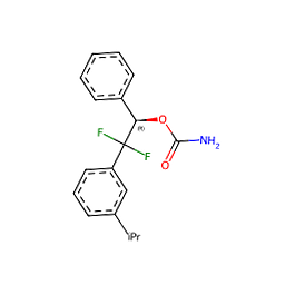 CC(C)c1cccc(C(F)(F)[C@H](OC(N)=O)c2ccccc2)c1